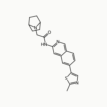 Cc1ncc(-c2ccc3cnc(NC(=O)CN4C5CCC4CC5)cc3c2)s1